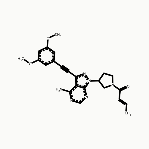 CC=CC(=O)N1CCC(n2nc(C#Cc3cc(OC)cc(OC)c3)c3c(N)ncnc32)C1